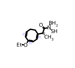 BN(S)C(=O)[C@H](C)/C1=C/C=C(OCC)\C=C/CC1